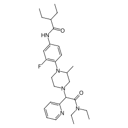 CCC(CC)C(=O)Nc1ccc(N2CCN(C(C(=O)N(CC)CC)c3ccccn3)CC2C)c(F)c1